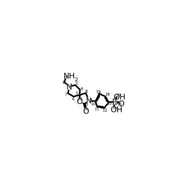 NCN1CCC2(CC1)CN(c1ccc(P(=O)(O)O)cc1)C(=O)O2